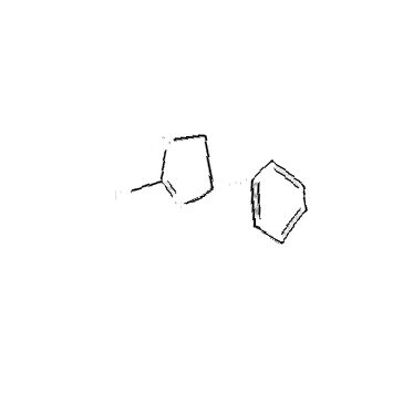 SC1=N[C@@H](c2ccccc2)CN1